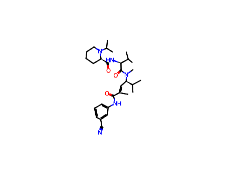 C/C(=C\[C@H](C(C)C)N(C)C(=O)[C@@H](NC(=O)[C@H]1CCCCN1C(C)C)C(C)C)C(=O)Nc1cccc(C#N)c1